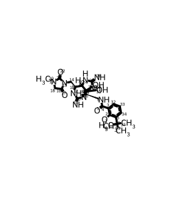 COc1c(C(=O)N[C@H]2CN3C(=N)N[C@@H](CN4C(=O)CN(C)C4=O)[C@@H]4NC(=N)N[C@@]43C2(O)O)cccc1C(C)(C)C